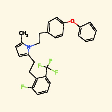 Cc1ccc(CCc2c(F)cccc2C(F)(F)F)n1CCc1ccc(Oc2ccccc2)cc1